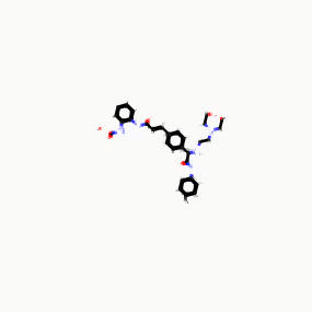 CC(C)(C)OC(=O)Nc1ccccc1NC(=O)C=Cc1ccc(C(C(=O)Nc2ccc(C(F)(F)F)cc2)N(C=O)CCN2CCOCC2)cc1